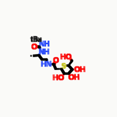 [CH2]C(CCNC(=O)C[C@H]1S[C@@H](CO)[C@H](O)[C@H](O)[C@H]1O)NC(=O)NC(C)(C)C